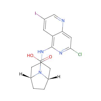 O=C(O)N1[C@@H]2CC[C@H]1C[C@@H](Nc1nc(Cl)cc3ncc(I)cc13)C2